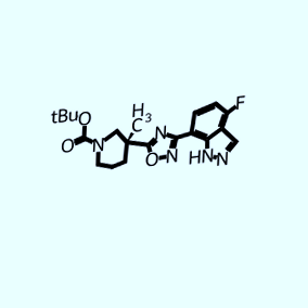 CC(C)(C)OC(=O)N1CCC[C@@](C)(c2nc(-c3ccc(F)c4cn[nH]c34)no2)C1